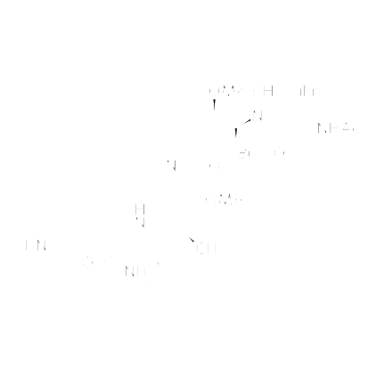 CC[C@H](C)[C@@H]([C@@H](CC(=O)N1CCC[C@H]1[C@H](OC)[C@@H](C)C(=O)N[C@@H](Cc1c[nH]c2ccccc12)C(N)=O)OC)N(C)C(=O)[C@@H](NC(C)=O)C(C)C